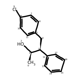 C[C@@H](O)[C@@H](Cc1ccc(Cl)cc1)c1ccccc1